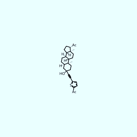 CC(=O)c1ccc(C#C[C@@]2(O)CC[C@@]3(C)[C@H](CC[C@@H]4[C@@H]3CC[C@]3(C)[C@@H](C(C)=O)CC[C@@H]43)C2)s1